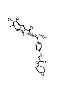 Cc1cc2c(cc(C(=O)N[C@H](CO)c3ccc(SCC(=O)OC4CCOCC4)cc3)n2C)c(Cl)c1Cl